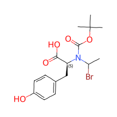 CC(Br)N(C(=O)OC(C)(C)C)[C@@H](Cc1ccc(O)cc1)C(=O)O